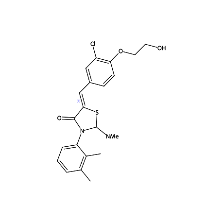 CNC1S/C(=C\c2ccc(OCCO)c(Cl)c2)C(=O)N1c1cccc(C)c1C